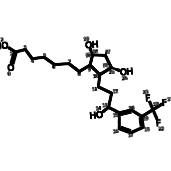 O=C(O)CCCCCCC1C(CCC(O)c2cccc(C(F)(F)F)c2)[C@H](O)C[C@@H]1O